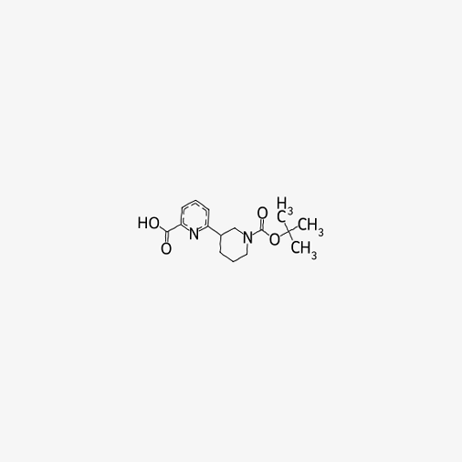 CC(C)(C)OC(=O)N1CCCC(c2cccc(C(=O)O)n2)C1